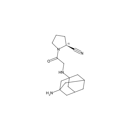 N#C[C@@H]1CCCN1C(=O)CNC12CC3CC(CC(N)(C3)C1)C2